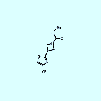 CC(C)(C)OC(=O)N1CC(c2nc(C(F)(F)F)cs2)C1